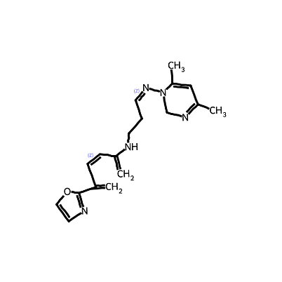 C=C(/C=C\C(=C)c1ncco1)NCC/C=N\N1CN=C(C)C=C1C